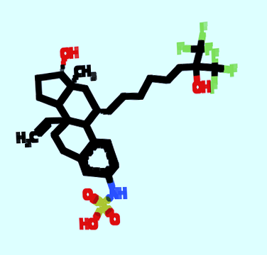 C=CC12CCc3cc(NS(=O)(=O)O)ccc3C1[C@@H](CCCCCCC(O)(C(F)(F)F)C(F)(F)F)C[C@@]1(C)C2CC[C@@H]1O